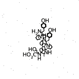 C[C@H](NC(=O)[C@@H]1CCCN1C(=O)[C@H](Cc1ccc(O)cc1)NC(=O)[C@@H]1CCCN1C(=O)[C@@H](N)Cc1ccc(O)cc1)C(=O)N[C@@H](CO)C(=O)O